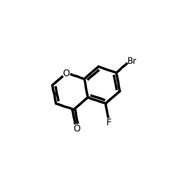 O=c1ccoc2cc(Br)cc(F)c12